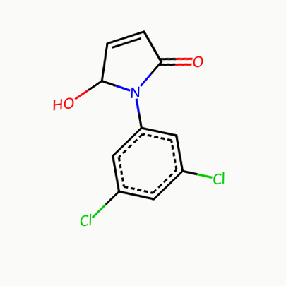 O=C1C=CC(O)N1c1cc(Cl)cc(Cl)c1